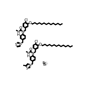 CCCCCCCCCCCCCCOc1cc(CN(C(=O)NC)c2ccc(C[n+]3ccsc3)cc2)ccc1Cl.CCCCCCCCCCCCCCOc1cc(CN(C(=O)NC)c2ccc(C[n+]3csc(C)c3)cc2)ccc1Cl.[Br-].[Br-]